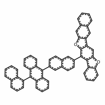 c1ccc2cc3c(cc2c1)oc1c(-c2ccc4cc(-c5c6ccccc6c(-c6cccc7ccccc67)c6ccccc56)ccc4c2)c2c(cc13)oc1ccccc12